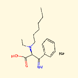 CCCCCCN(CC)[C@@H](C(=N)c1ccccc1)C(=O)O.[Na]